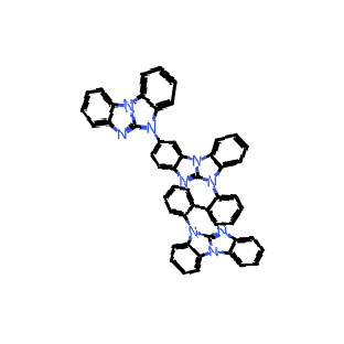 c1ccc(-n2c3ccccc3n3c4ccccc4nc23)c(-c2ccccc2-n2c3ccccc3n3c4cc(-n5c6ccccc6n6c7ccccc7nc56)ccc4nc23)c1